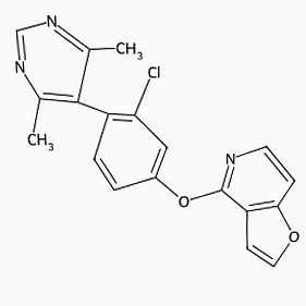 Cc1ncnc(C)c1-c1ccc(Oc2nccc3occc23)cc1Cl